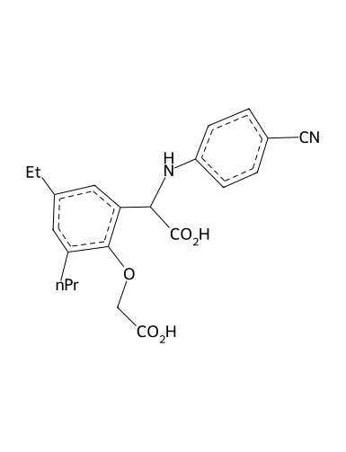 CCCc1cc(CC)cc(C(Nc2ccc(C#N)cc2)C(=O)O)c1OCC(=O)O